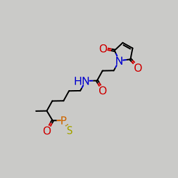 CC(CCCCNC(=O)CCN1C(=O)C=CC1=O)C(=O)P=S